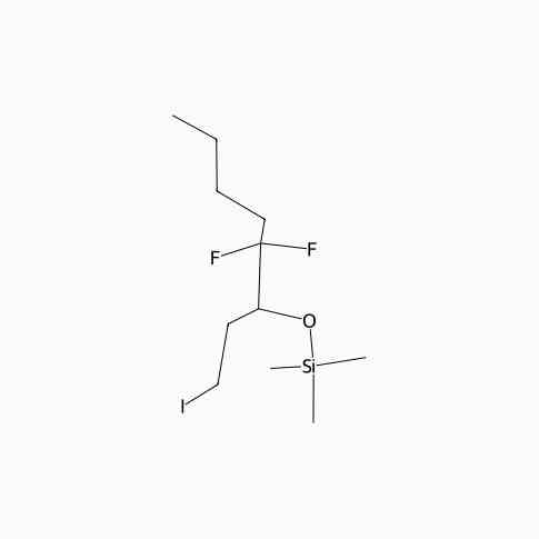 CCCCC(F)(F)C(CCI)O[Si](C)(C)C